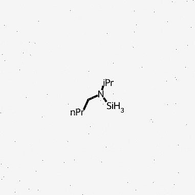 CCCCN([SiH3])C(C)C